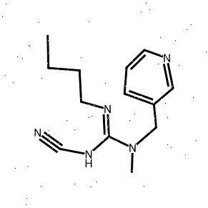 CCCCN=C(NC#N)N(C)Cc1cccnc1